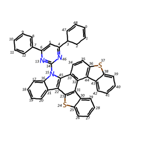 C1=CCC(c2cc(-c3ccccc3)nc(-n3c4ccccc4c4c5sc6ccccc6c5c5c(ccc6sc7ccccc7c65)c43)n2)C=C1